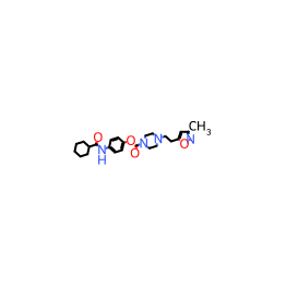 Cc1cc(CCN2CCN(C(=O)Oc3ccc(NC(=O)C4CCCCC4)cc3)CC2)on1